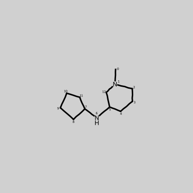 CN1CCCC(NC2CCCC2)C1